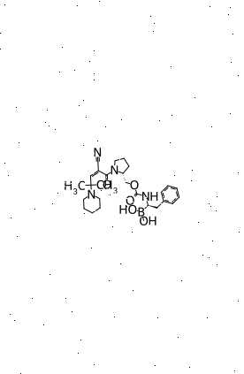 CC(C)(/C=C(/C#N)C(=O)N1CCC[C@@H]1COC(=O)N[C@@H](Cc1ccccc1)B(O)O)N1CCCCC1